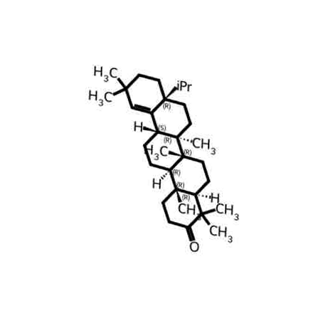 CC(C)[C@]12CCC(C)(C)C=C1[C@H]1CC[C@@H]3[C@@]4(C)CCC(=O)C(C)(C)[C@@H]4CC[C@@]3(C)[C@]1(C)CC2